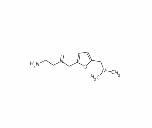 CN(C)Cc1ccc(CNCCN)o1